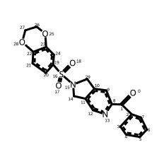 O=C(c1ccccc1)c1cc2c(cn1)CN(S(=O)(=O)c1ccc3c(c1)OCCO3)C2